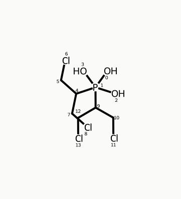 OP(O)(O)(C(CCl)CCl)C(CCl)CCl